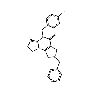 O=C1C2=C(CN(Cc3ccccc3)C2)N2CCN=C2N1Cc1ccc(Cl)cc1